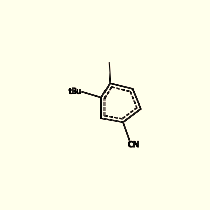 Cc1ccc(C#N)cc1C(C)(C)C